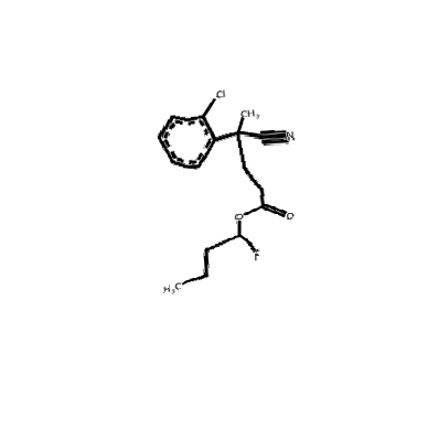 CCCC(F)OC(=O)CCC(C)(C#N)c1ccccc1Cl